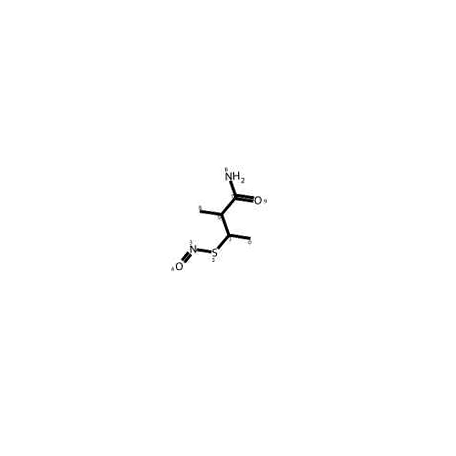 CC(SN=O)C(C)C(N)=O